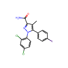 Cc1c(C(N)=O)nn(-c2ccc(Cl)cc2Cl)c1-c1ccc(I)cc1